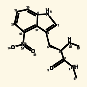 CNC(=O)[C@@H](Cc1c[nH]c2cccc([N+](=O)[O-])c12)NC